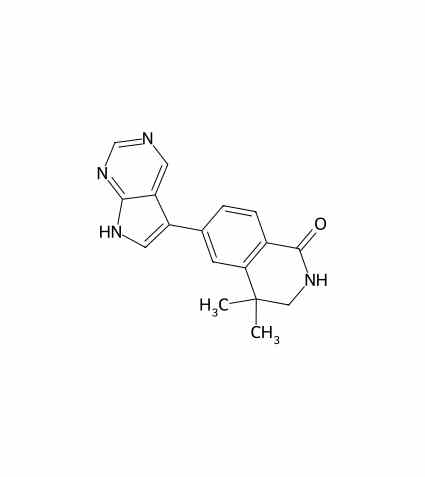 CC1(C)CNC(=O)c2ccc(-c3c[nH]c4ncncc34)cc21